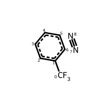 FC(F)(F)c1ccccc1.N#N